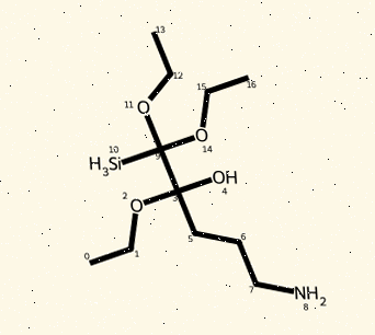 CCOC(O)(CCCN)C([SiH3])(OCC)OCC